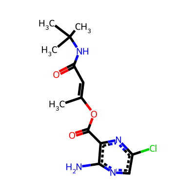 C/C(=C\C(=O)NC(C)(C)C)OC(=O)c1nc(Cl)cnc1N